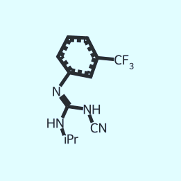 CC(C)N/C(=N/c1cccc(C(F)(F)F)c1)NC#N